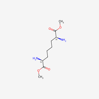 COC(=O)[C@@H](N)CCCC[C@H](N)C(=O)OC